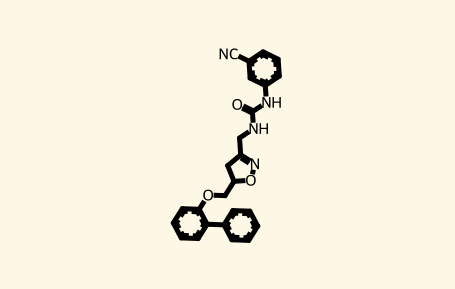 N#Cc1cccc(NC(=O)NCC2=NOC(COc3ccccc3-c3ccccc3)C2)c1